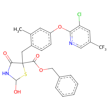 Cc1cc(Oc2ncc(C(F)(F)F)cc2Cl)ccc1CC1(C(=O)OCc2ccccc2)SC(O)NC1=O